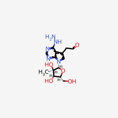 C[C@@]1(O)[C@H](O)[C@@H](CO)O[C@H]1n1cc(CC=O)c2c(NN)ncnc21